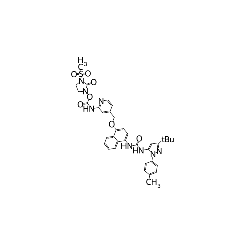 Cc1ccc(-n2nc(C(C)(C)C)cc2NC(=O)Nc2ccc(OCc3ccnc(NC(=O)ON4CCN(S(C)(=O)=O)C4=O)c3)c3ccccc23)cc1